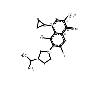 CC(N)[C@@H]1CCN(c2c(F)cc3c(=O)c(C(=O)O)cn(C4CC4)c3c2Cl)C1